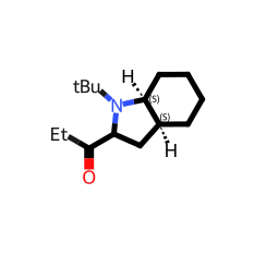 CCC(=O)C1C[C@@H]2CCCC[C@@H]2N1C(C)(C)C